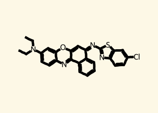 CCN(CC)c1ccc2nc3c4ccccc4/c(=N\c4nc5ccc(Cl)cc5s4)cc-3oc2c1